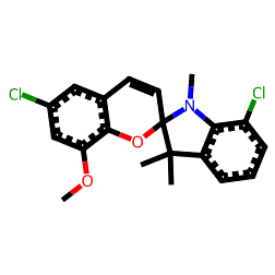 COc1cc(Cl)cc2c1OC1(C=C2)N(C)c2c(Cl)cccc2C1(C)C